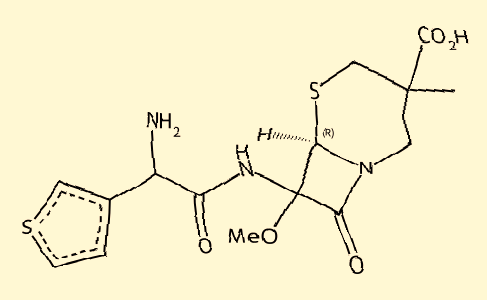 COC1(NC(=O)C(N)c2ccsc2)C(=O)N2CC(C)(C(=O)O)CS[C@@H]21